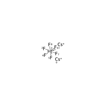 [Cs+].[Cs+].[F][Hf-2]([F])([F])([F])([F])[F]